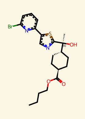 CCCCOC(=O)[C@H]1CC[C@H]([C@](C)(O)c2ncc(-c3cccc(Br)n3)s2)CC1